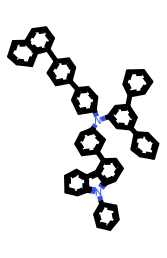 c1ccc(-c2cc(-c3ccccc3)cc(N(c3ccc(-c4ccc(-c5cccc6ccccc56)cc4)cc3)c3cccc(-c4cccc5c4c4ccccc4n5-c4ccccc4)c3)c2)cc1